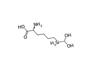 N[C@@H](CCCC[SiH2]C(O)O)C(=O)O